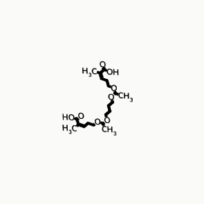 CC(=CCCOC(C)OCCCCOC(C)OCCC=C(C)C(=O)O)C(=O)O